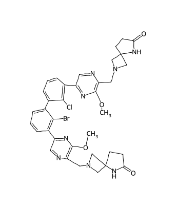 COc1nc(-c2cccc(-c3cccc(-c4cnc(CN5CC6(CCC(=O)N6)C5)c(OC)n4)c3Br)c2Cl)cnc1CN1CC2(CCC(=O)N2)C1